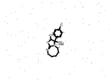 Br.CC1S/C2=N/CCCCCN2C1(O)c1ccc(Cl)cc1